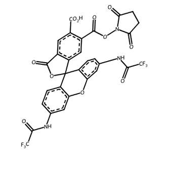 O=C(O)c1cc2c(cc1C(=O)ON1C(=O)CCC1=O)C1(OC2=O)c2ccc(NC(=O)C(F)(F)F)cc2Oc2cc(NC(=O)C(F)(F)F)ccc21